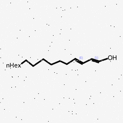 CCCCCCCCCCCC/C=C/C=C/O